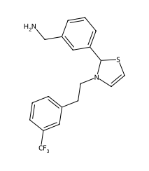 NCc1cccc(C2SC=CN2CCc2cccc(C(F)(F)F)c2)c1